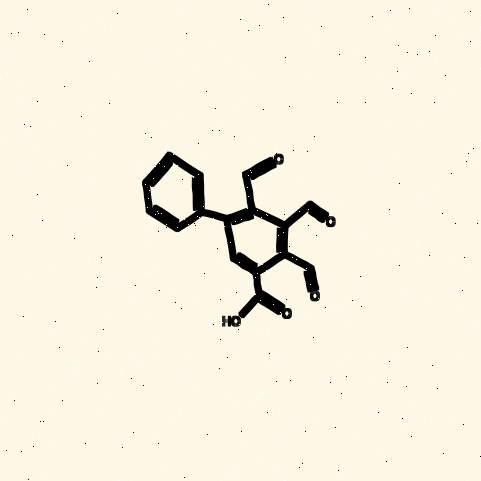 O=Cc1c(C(=O)O)cc(-c2ccccc2)c(C=O)c1C=O